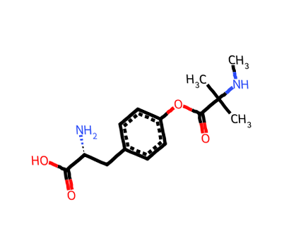 CNC(C)(C)C(=O)Oc1ccc(C[C@@H](N)C(=O)O)cc1